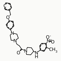 Cc1cc(NC2CCN(C(=O)CCN3CCN(c4ccc(OCc5ccccc5)cc4)CC3)CC2)ccc1[N+](=O)[O-]